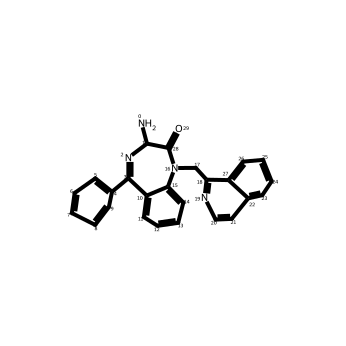 NC1N=C(c2ccccc2)c2ccccc2N(Cc2nccc3ccccc23)C1=O